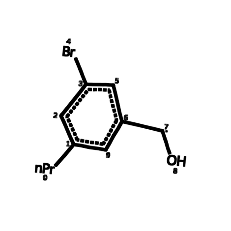 CCCc1cc(Br)cc([CH]O)c1